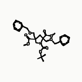 COC(=O)C1(COCc2ccccc2)CN(C(=O)OC(C)(C)C)C(COCc2ccccc2)(C(=O)OC)C1